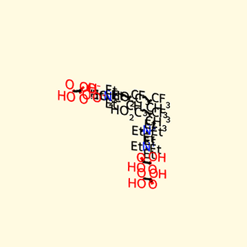 CC(CC(=O)O)C(F)(F)F.CC(CC(=O)O)C(F)(F)F.CC(CC(=O)O)C(F)(F)F.CC[N+](CC)(CC)CC.CC[N+](CC)(CC)CC.CC[N+](CC)(CC)CC.O=C(O)C(=O)O.O=C(O)C(=O)O.O=C(O)C(=O)O.[O-]B([O-])[O-]